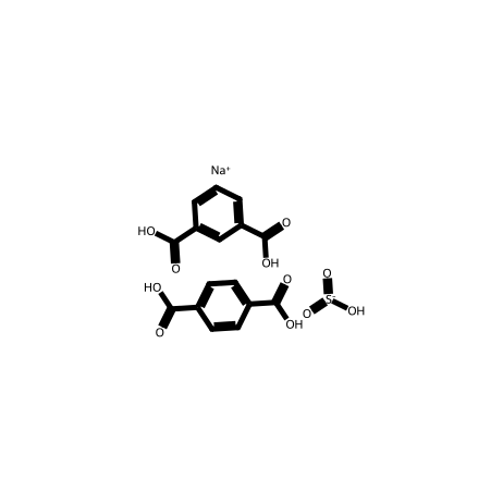 O=C(O)c1ccc(C(=O)O)cc1.O=C(O)c1cccc(C(=O)O)c1.O=[S-](=O)O.[Na+]